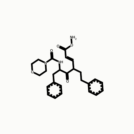 NOC(=O)C=CC(CCc1ccccc1)C(=O)C(Cc1ccccc1)NC(=O)N1CCOCC1